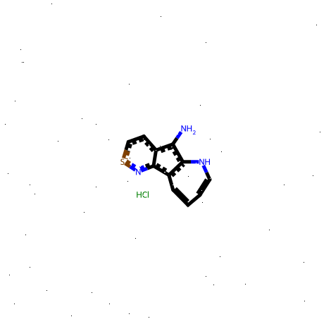 Cl.Nc1c2ccsnc-2c2c1NC=CC=C2